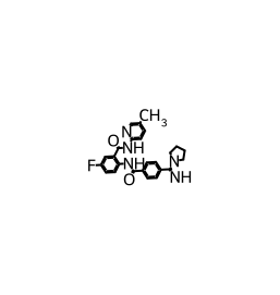 Cc1ccc(NC(=O)c2cc(F)ccc2NC(=O)c2ccc(C(=N)N3CCCC3)cc2)nc1